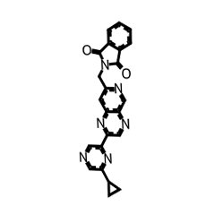 O=C1c2ccccc2C(=O)N1Cc1cc2nc(-c3cncc(C4CC4)n3)cnc2cn1